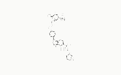 O=C(NCc1cccnc1)c1ccc2c(c1)ncn2-c1ccc(OCCn2cc(C(F)(F)F)ccc2=O)cc1